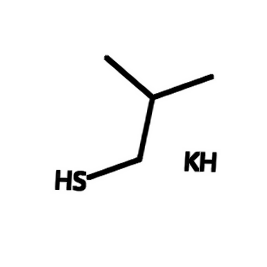 CC(C)CS.[KH]